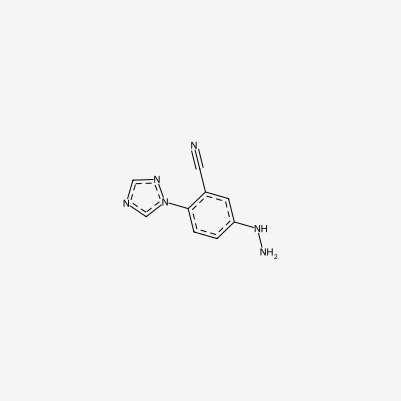 N#Cc1cc(NN)ccc1-n1cncn1